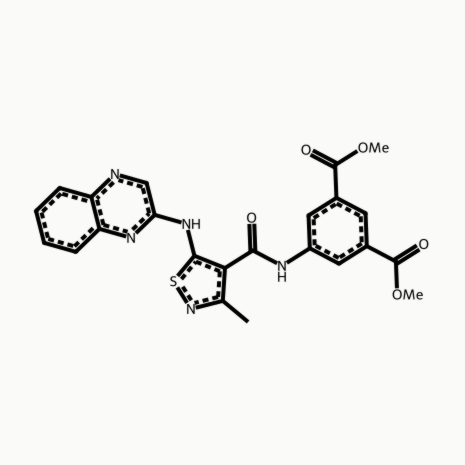 COC(=O)c1cc(NC(=O)c2c(C)nsc2Nc2cnc3ccccc3n2)cc(C(=O)OC)c1